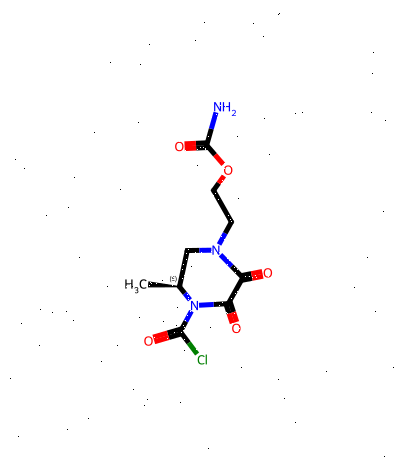 C[C@H]1CN(CCOC(N)=O)C(=O)C(=O)N1C(=O)Cl